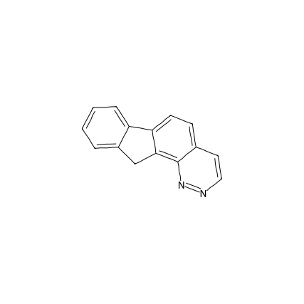 c1ccc2c(c1)Cc1c-2ccc2ccnnc12